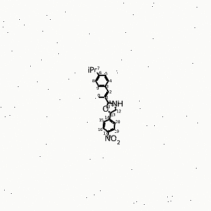 C/C(=C\c1ccc(C(C)C)cc1)C1NCC(c2ccc([N+](=O)[O-])cc2)O1